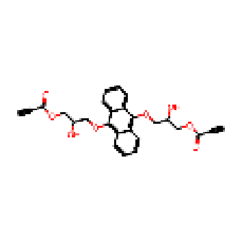 C#CC(=O)OCC(O)COc1c2ccccc2c(OCC(O)COC(=O)C#C)c2ccccc12